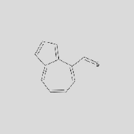 S=Cc1ccccc2cccc1-2